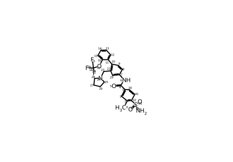 Cc1cc(C(=O)Nc2ccc(-c3ccccc3OC(F)(F)F)c(CN3CCCC3)c2)ccc1S(N)(=O)=O